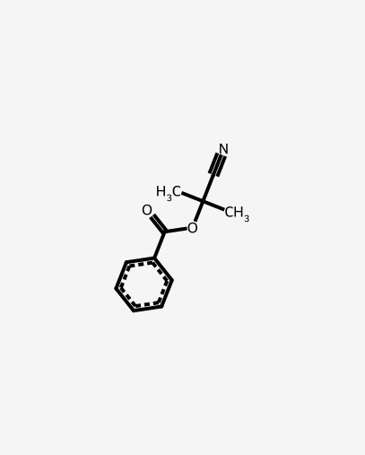 CC(C)(C#N)OC(=O)c1ccccc1